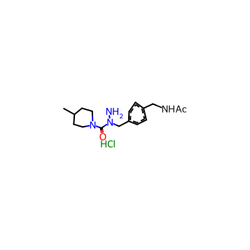 CC(=O)NCc1ccc(CN(N)C(=O)N2CCC(C)CC2)cc1.Cl